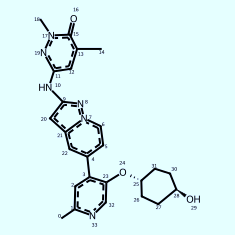 Cc1cc(-c2ccn3nc(Nc4cc(C)c(=O)n(C)n4)cc3c2)c(O[C@H]2CC[C@H](O)CC2)cn1